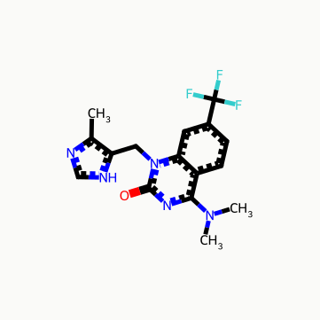 Cc1nc[nH]c1Cn1c(=O)nc(N(C)C)c2ccc(C(F)(F)F)cc21